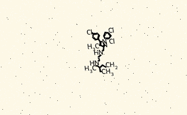 C=CCC(CC)C(C)NCCCNCc1nn(-c2ccc(Cl)cc2Cl)c(-c2ccc(Cl)cc2)c1C